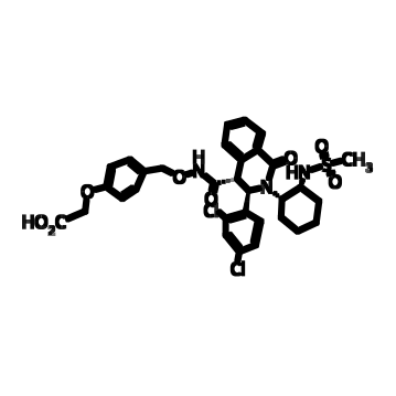 CS(=O)(=O)N[C@H]1CCCC[C@@H]1N1C(=O)c2ccccc2[C@@H](C(=O)NOCc2ccc(OCC(=O)O)cc2)[C@@H]1c1ccc(Cl)cc1Cl